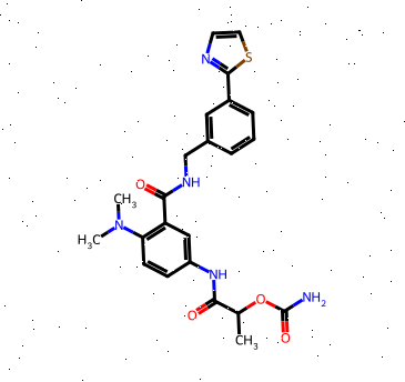 CC(OC(N)=O)C(=O)Nc1ccc(N(C)C)c(C(=O)NCc2cccc(-c3nccs3)c2)c1